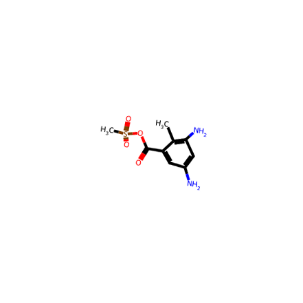 Cc1c(N)cc(N)cc1C(=O)OS(C)(=O)=O